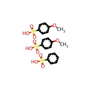 COc1ccc(S(=O)(=O)O)cc1.COc1ccc(S(=O)(=O)O)cc1.O=S(=O)(O)c1ccccc1